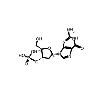 Nc1nc2c(ncn2[C@H]2C[C@H](OP(=O)(O)O)[C@@H](CO)O2)c(=O)[nH]1